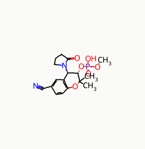 COP(=O)(O)O[C@H]1[C@H](N2CCCC2=O)c2cc(C#N)ccc2OC1(C)C